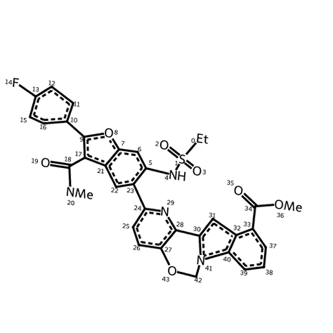 CCS(=O)(=O)Nc1cc2oc(-c3ccc(F)cc3)c(C(=O)NC)c2cc1-c1ccc2c(n1)-c1cc3c(C(=O)OC)cccc3n1CO2